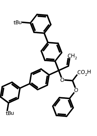 C=CC(OC(Oc1ccccc1)C(=O)O)(c1ccc(-c2cccc(C(C)(C)C)c2)cc1)c1ccc(-c2cccc(C(C)(C)C)c2)cc1